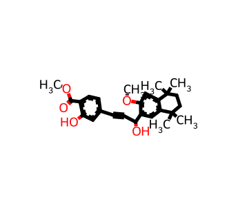 COC(=O)c1ccc(C#CC(O)c2cc3c(cc2OC)C(C)(C)CCC3(C)C)cc1O